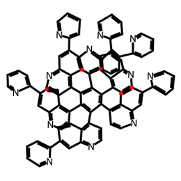 c1ccc(-c2ccc3c(-c4c(-c5ccnc6cc(-c7ccccn7)ccc56)c(-c5ccnc6cc(-c7ccccn7)ccc56)c(-c5ccnc6cc(-c7ccccn7)ccc56)c(-c5ccnc6cc(-c7ccccn7)ccc56)c4-c4ccnc5cc(-c6ccccn6)ccc45)ccnc3c2)nc1